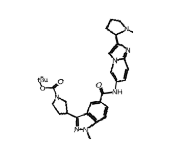 CN1CCCC1c1cn2cc(NC(=O)c3ccc4c(c3)c(C3CCN(C(=O)OC(C)(C)C)C3)nn4C)ccc2n1